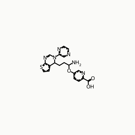 NC(CCC1c2ccsc2N=CN1c1cnccn1)Oc1ccc(C(=O)O)nc1